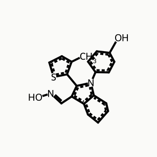 Cc1ccsc1-c1c(/C=N/O)c2ccccc2n1-c1ccc(O)cc1